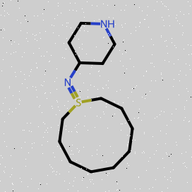 C1CCCCS(=NC2CCNCC2)CCCC1